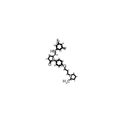 CC1CCCN1CCCOc1ccc(N2C(=O)CC[C@H]2CNc2cc(F)cc(F)c2)cc1